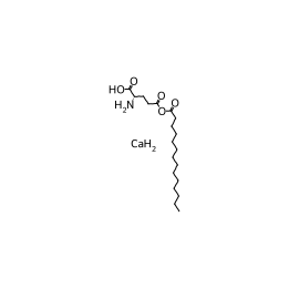 CCCCCCCCCCCCCC(=O)OC(=O)CC[C@H](N)C(=O)O.[CaH2]